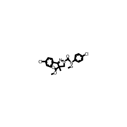 COC(=O)C1(C)CN(C(=O)N(SC)c2ccc(Cl)cc2)N=C1c1ccc(Cl)cc1